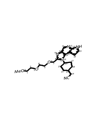 COCCOCCOCc1nc2cnc3[nH]ccc3c2n1C1CCC(CC#N)CC1